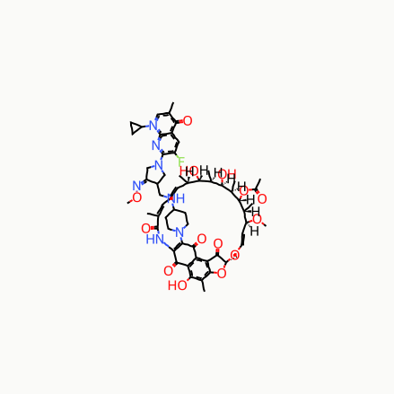 CO/N=C1/CN(c2nc3c(cc2F)c(=O)c(C)cn3C2CC2)CC1CNC1CCN(C2=C3NC(=O)/C(C)=C\C=C\[C@H](C)[C@H](O)[C@@H](C)[C@@H](O)[C@@H](C)[C@H](OC(C)=O)[C@H](C)[C@@H](OC)/C=C/O[C@@]4(C)Oc5c(C)c(O)c(c(c5C4=O)C2=O)C3=O)CC1